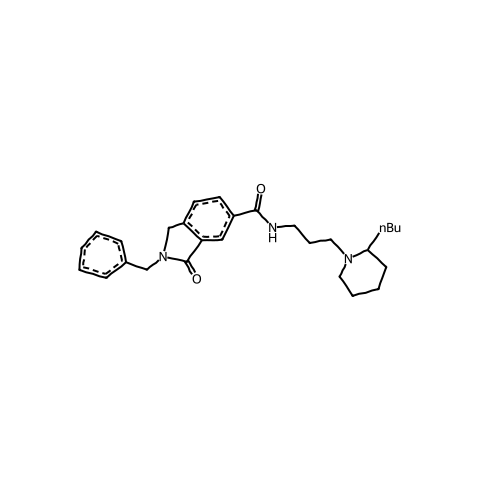 CCCCC1CCCCN1CCCNC(=O)c1ccc2c(c1)C(=O)N(Cc1ccccc1)C2